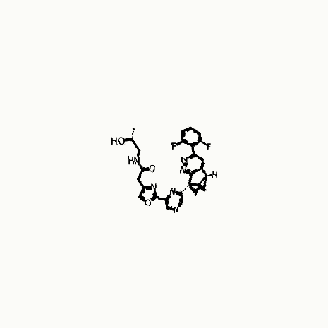 C[C@@H](O)CNC(=O)Cc1coc(-c2cncc([C@]34CC[C@@H](c5cc(-c6c(F)cccc6F)nnc53)C4(C)C)n2)n1